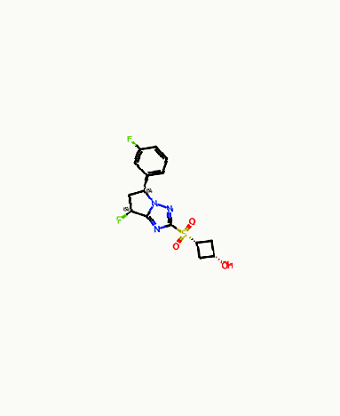 O=S(=O)(c1nc2n(n1)[C@H](c1cccc(F)c1)C[C@@H]2F)[C@H]1C[C@@H](O)C1